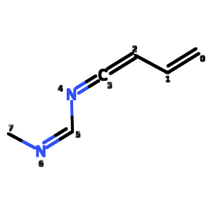 C=CC=C=N/C=N\C